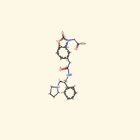 O=C(O)Cn1c(=O)oc2ccc(CC(=O)N[C@H](CN3CCCC3)c3ccccc3)cc21